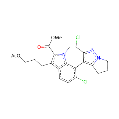 COC(=O)c1c(CCCOC(C)=O)c2ccc(Cl)c(-c3c(CCl)nn4c3CCC4)c2n1C